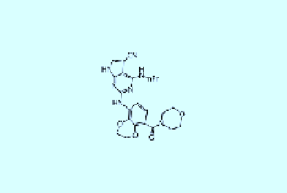 CCCNc1nc(Nc2ccc(C(=O)N3CCOCC3)c3c2OCCO3)nc2[nH]cc(C#N)c12